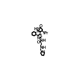 CC(C)c1cc(=O)[nH]nc1-c1sc(NC(=O)CCNCc2ccccn2)nc1-c1ccccc1